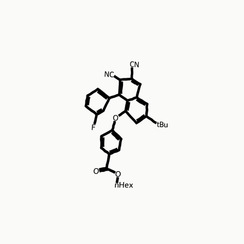 CCCCCCOC(=O)c1ccc(Oc2cc(C(C)(C)C)cc3cc(C#N)c(C#N)c(-c4cccc(F)c4)c23)cc1